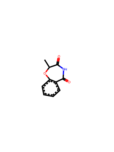 CC1Oc2ccccc2C(=O)NC1=O